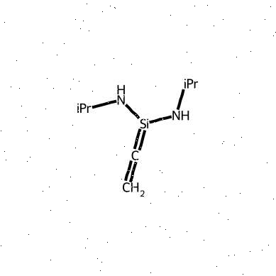 C=C=[Si](NC(C)C)NC(C)C